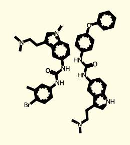 CN(C)CCc1c[nH]c2ccc(NC(=O)Nc3ccc(Oc4ccccc4)cc3)cc12.Cc1cc(NC(=O)Nc2ccc3c(c2)c(CCN(C)C)cn3C)ccc1Br